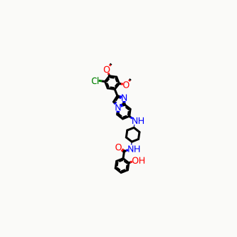 COc1cc(OC)c(-c2cn3ccc(N[C@H]4CC[C@@H](NC(=O)c5ccccc5O)CC4)cc3n2)cc1Cl